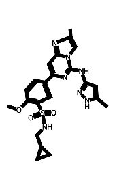 COc1ccc(-c2cc3nc(C)cn3c(Nc3cc(C)[nH]n3)n2)cc1S(=O)(=O)NCC1CC1